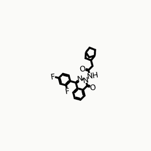 O=C(CC1CC2CCC1C2)Nn1nc(-c2ccc(F)cc2F)c2ccccc2c1=O